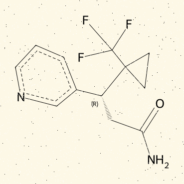 NC(=O)C[C@H](c1cccnc1)C1(C(F)(F)F)CC1